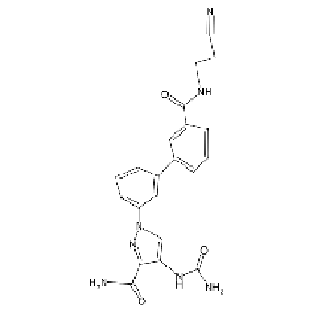 N#CCCNC(=O)c1cccc(-c2cccc(-n3cc(NC(N)=O)c(C(N)=O)n3)c2)c1